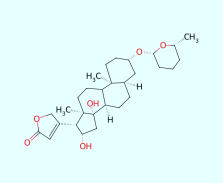 C[C@@H]1CCC[C@H](O[C@H]2CC[C@]3(C)C4CC[C@]5(C)[C@@H](C6=CC(=O)OC6)[C@@H](O)C[C@]5(O)[C@@H]4CC[C@@H]3C2)O1